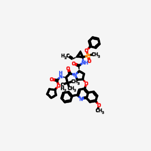 C=C[C@@H]1C[C@]1(NC(=O)[C@@H]1C[C@@H](Oc2cc(-c3ccccc3)nc3cc(OC)ccc23)CN1C(=O)[C@@H](NC(=O)OC1CCCC1)C(C)(C)C)P(C)(=O)Oc1ccccc1